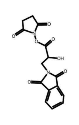 O=C(ON1C(=O)CCC1=O)C(O)CN1C(=O)c2ccccc2C1=O